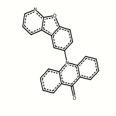 O=c1c2ccccc2n(-c2ccc3oc4ncccc4c3c2)c2ccccc12